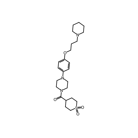 O=C(C1CCS(=O)(=O)CC1)N1CCN(c2ccc(OCCCN3CCCCC3)cc2)CC1